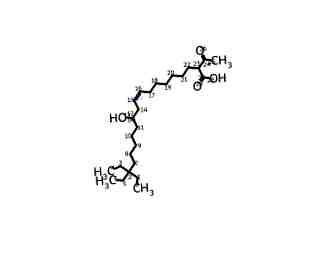 CCC(CC)(CC)CCCCC[C@@H](O)C/C=C\CCCCCCC(C(C)=O)C(=O)O